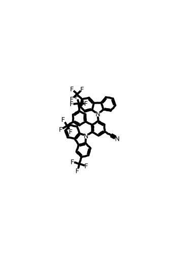 N#Cc1cc(-n2c3c(c4cc(C(F)(F)F)ccc42)C=CCC3)c(-c2cc(C(F)(F)F)cc(C(F)(F)F)c2)c(-n2c3ccccc3c3cc(C(F)(F)F)ccc32)c1